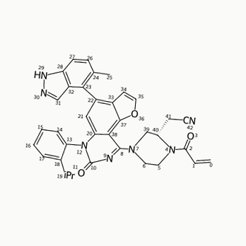 C=CC(=O)N1CCN(c2nc(=O)n(-c3ccccc3C(C)C)c3cc(-c4c(C)ccc5[nH]ncc45)c4ccoc4c23)C[C@@H]1CC#N